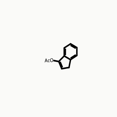 CC(=O)OC1=CCc2ccccc21